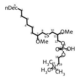 CCCCCCCCCCCCCCCCC(CSCC(COP(=O)(O)OCC[N+](C)(C)C)OC)OC